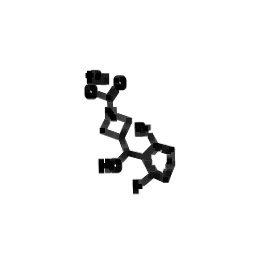 CC(C)(C)OC(=O)N1CC(C(O)c2c(F)cccc2Br)C1